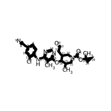 Cc1c(Nc2ccc(C#N)cc2Cl)ncnc1OC1C(C)CN(C(=O)OC2(C)CC2)CC1CC=O